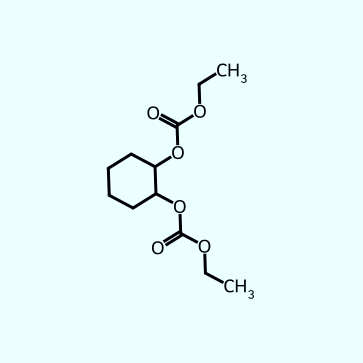 CCOC(=O)OC1CCCCC1OC(=O)OCC